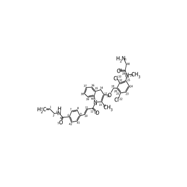 C=CCNC(=O)c1ccc(C=CC(=O)N2C(C)=C(OCc3c(Cl)ccc(N(C)C(=O)CN)c3Cl)Cc3ccccc32)cc1